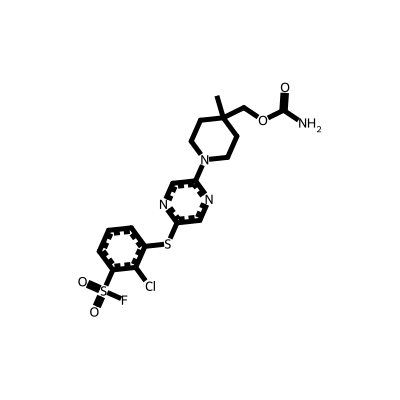 CC1(COC(N)=O)CCN(c2cnc(Sc3cccc(S(=O)(=O)F)c3Cl)cn2)CC1